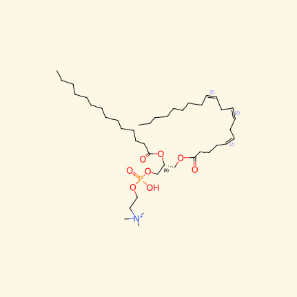 CCCCCCCC/C=C\C/C=C\C/C=C\CCCC(=O)OC[C@H](COP(=O)(O)OCC[N+](C)(C)C)OC(=O)CCCCCCCCCCCCC